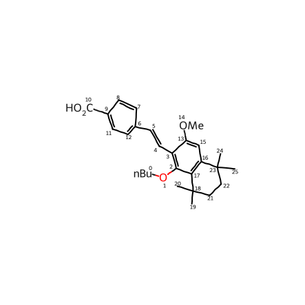 CCCCOc1c(C=Cc2ccc(C(=O)O)cc2)c(OC)cc2c1C(C)(C)CCC2(C)C